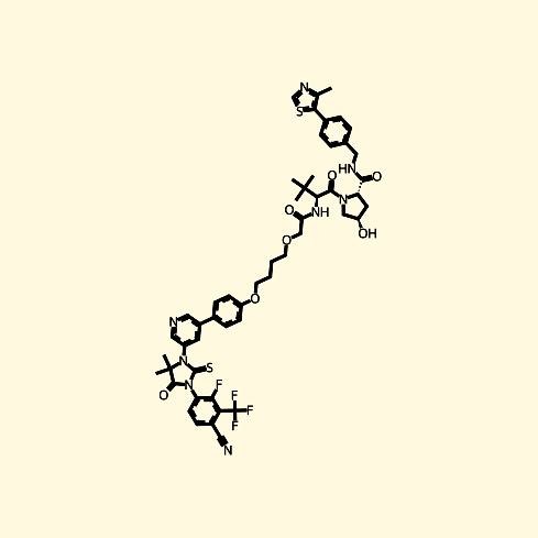 Cc1ncsc1-c1ccc(CNC(=O)[C@@H]2C[C@@H](O)CN2C(=O)[C@@H](NC(=O)COCCCCOc2ccc(-c3cncc(N4C(=S)N(c5ccc(C#N)c(C(F)(F)F)c5F)C(=O)C4(C)C)c3)cc2)C(C)(C)C)cc1